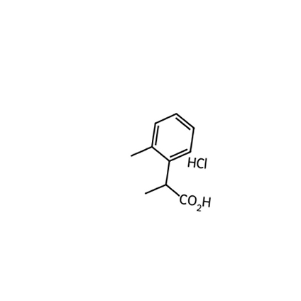 Cc1ccccc1C(C)C(=O)O.Cl